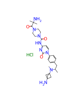 CC(Cc1ccc(-n2ccc(NC(=O)N3CCN(C(=O)C(C)(C)N)CC3)nc2=O)cc1)N(C)C12CC(N)(C1)C2.Cl